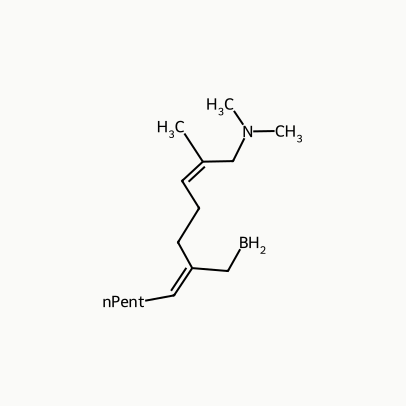 BC/C(=C/CCCCC)CC/C=C(/C)CN(C)C